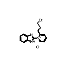 CCSSCc1cccc[n+]1-c1nc2ccccc2[nH]1.[Cl-]